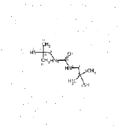 CC(C)(S)CNC(=O)NCC(C)(C)S